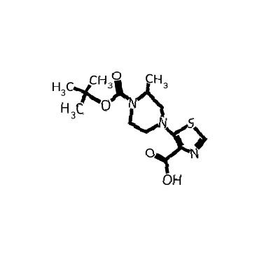 CC1CN(c2scnc2C(=O)O)CCN1C(=O)OC(C)(C)C